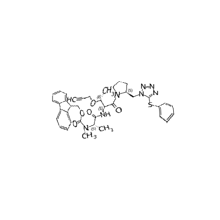 C#CCO[C@H](C)[C@H](NC(=O)[C@H](C)N(C)C(=O)OCC1c2ccccc2-c2ccccc21)C(=O)N1CCC[C@H]1Cn1nnnc1Sc1ccccc1